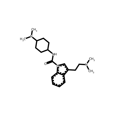 CN(C)CCc1cn(C(=O)NC2CCC(N(C)C)CC2)c2ccccc12